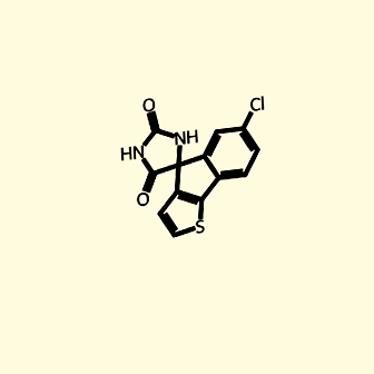 O=C1NC(=O)C2(N1)c1cc(Cl)ccc1-c1sccc12